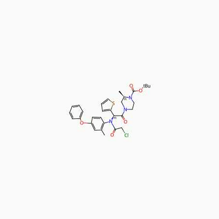 Cc1cc(Oc2ccccc2)ccc1N(C(=O)CCl)[C@H](C(=O)N1CCN(C(=O)OC(C)(C)C)[C@H](C)C1)c1cccs1